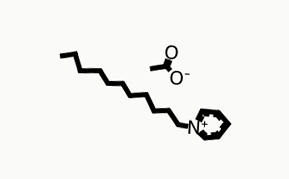 CC(=O)[O-].CCCCCCCCCCC[n+]1ccccc1